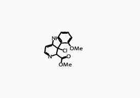 COC(=O)C1N=CC=C(N)C1(Cl)c1ccccc1OC